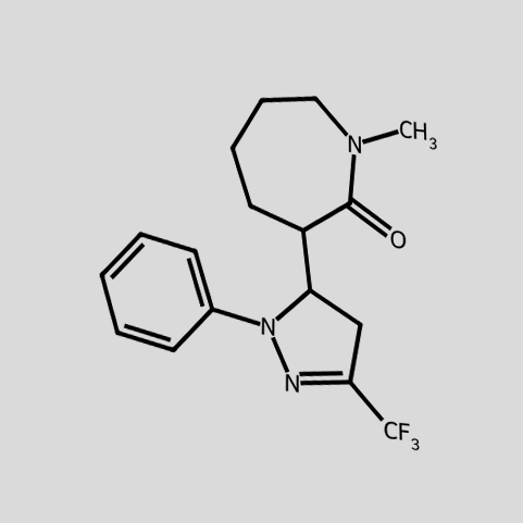 CN1CCCCC(C2CC(C(F)(F)F)=NN2c2ccccc2)C1=O